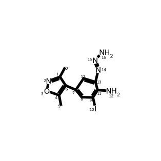 Cc1noc(C)c1-c1cc(I)c(N)c(N=NN)c1